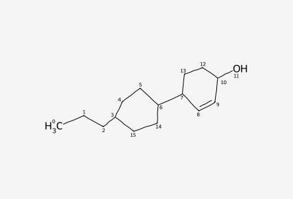 CCCC1CCC(C2C=CC(O)CC2)CC1